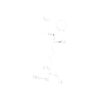 CN/C(=N/C#N)NCCCC[C@H](N)C(=O)N1CCC[C@H]1C#N